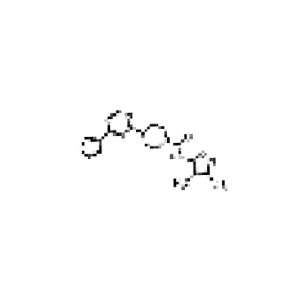 Cc1noc(NC(=O)N2CCC(c3nccc(-c4ccsc4)n3)CC2)c1C